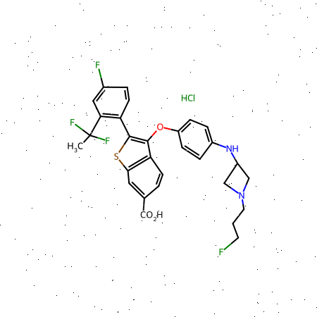 CC(F)(F)c1cc(F)ccc1-c1sc2cc(C(=O)O)ccc2c1Oc1ccc(NC2CN(CCCF)C2)cc1.Cl